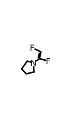 F/C=C(/F)N1CCCC1